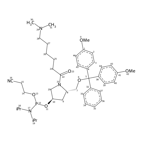 COc1ccc(C(OC[C@@H]2C[C@@H](OP(OCCC#N)N(C(C)C)C(C)C)CN2C(=O)CCCCCN(C)C)(c2ccccc2)c2ccc(OC)cc2)cc1